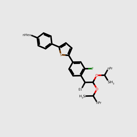 CCCCCCc1ccc(-c2ccc(-c3ccc(C(CC)C(OC([SiH3])CCC)OC([SiH3])CCC)c(F)c3)s2)cc1